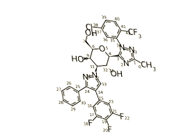 Cc1nc([C@@H]2O[C@H](CO)[C@H](O)[C@H](n3cc(-c4cc(F)c(F)c(F)c4)c(-c4ccccc4)n3)[C@H]2O)n(-c2cc(Cl)ccc2C(F)(F)F)n1